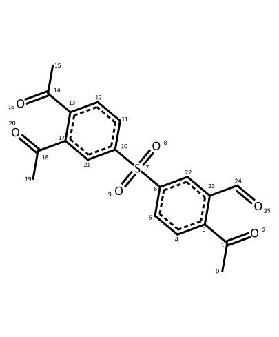 CC(=O)c1ccc(S(=O)(=O)c2ccc(C(C)=O)c(C(C)=O)c2)cc1C=O